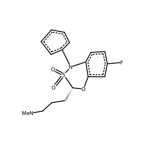 CNCCC[C@H]1Oc2cc(F)ccc2N(c2ccccc2)S1(=O)=O